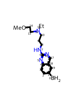 Bc1ccc2nc(NCCCN(CC)CCOC)ncc2c1